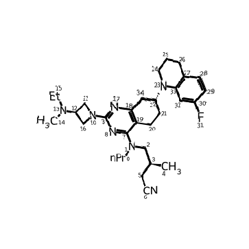 CCCN(C[C@@H](C)CC#N)c1nc(N2CC(N(C)CC)C2)nc2c1CC[C@@H](N1CCCc3ccc(F)cc31)C2